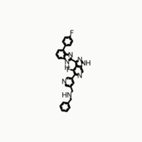 Fc1ccc(-c2cccc3[nH]c(-c4n[nH]c5cnc(-c6cncc(CNCc7ccccc7)c6)c(F)c45)nc23)cc1